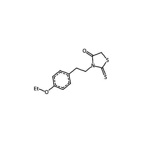 CCOc1ccc(CCN2C(=O)CSC2=S)cc1